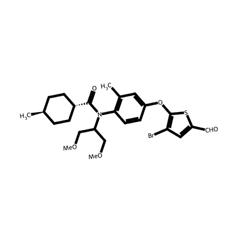 COCC(COC)N(c1ccc(Oc2sc(C=O)cc2Br)cc1C)C(=O)[C@H]1CC[C@H](C)CC1